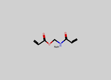 C=CC(=O)NCOC(=O)C=C.[NaH]